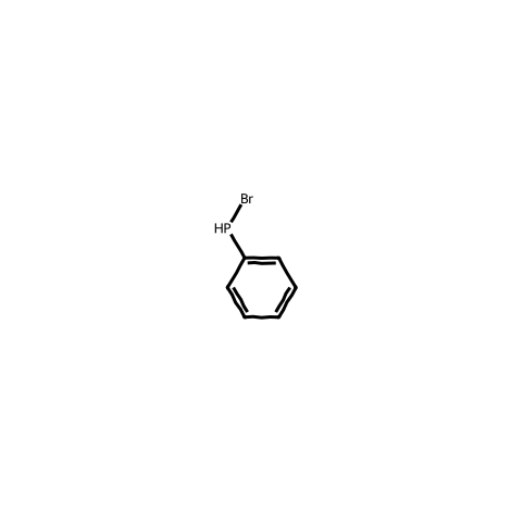 BrPc1ccccc1